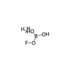 N.OB(O)OF